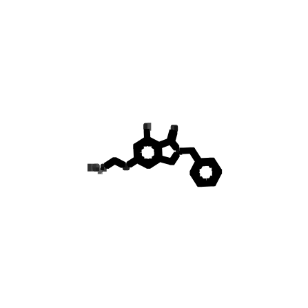 O=C(O)COc1cc(Cl)c2c(c1)CN(Cc1ccccc1)C2=O